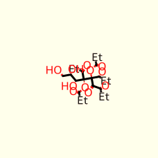 CCC(=O)O[C@@](C(=O)CC)(C(=O)C(=O)CC)[C@](OC(=O)CC)(C(=O)CC)[C@H](O)[C@H](O)CO